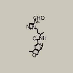 CC(CCn1cncc1N(C)C=O)NC(=O)c1cc2c(cn1)COC2C